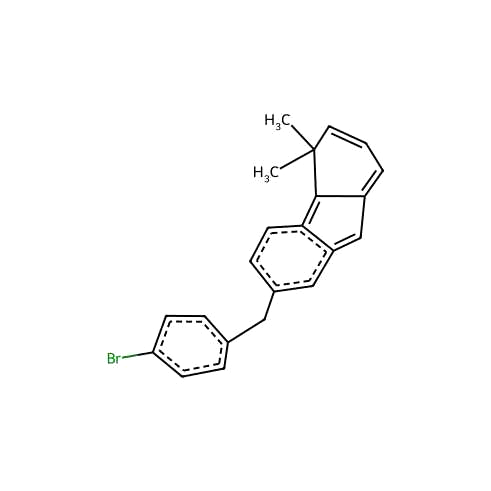 CC1(C)C=CC=C2C=c3cc(Cc4ccc(Br)cc4)ccc3=C21